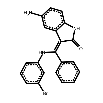 Nc1ccc2c(c1)C(=C(Nc1cccc(Br)c1)c1ccccc1)C(=O)N2